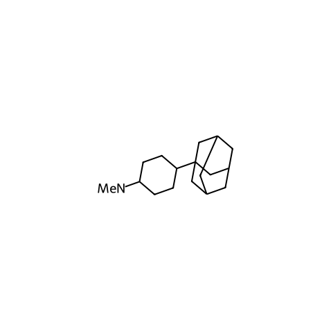 CNC1CCC(C23CC4CC(CC(C4)C2)C3)CC1